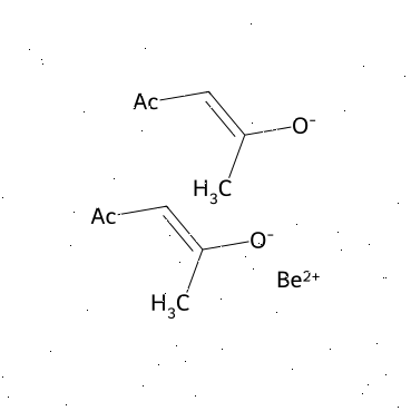 CC(=O)/C=C(\C)[O-].CC(=O)/C=C(\C)[O-].[Be+2]